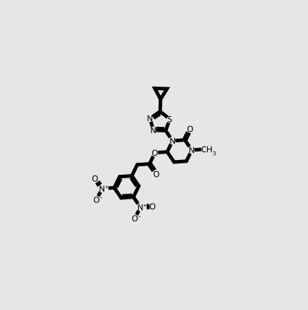 CN1CCC(OC(=O)Cc2cc([N+](=O)[O-])cc([N+](=O)[O-])c2)N(c2nnc(C3CC3)s2)C1=O